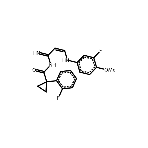 COc1ccc(N/C=C\C(=N)NC(=O)C2(c3ccccc3F)CC2)cc1F